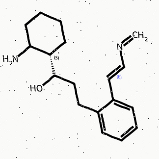 C=N/C=C/c1ccccc1CCC(O)[C@H]1CCCCC1N